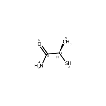 C[C@@H](S)C(N)=O